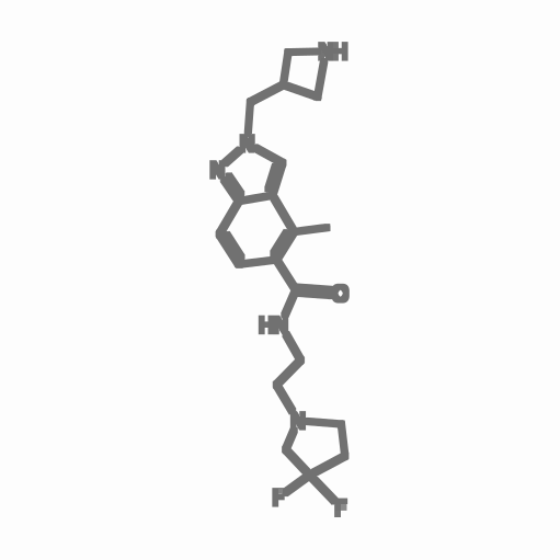 Cc1c(C(=O)NCCN2CCC(F)(F)C2)ccc2nn(CC3CNC3)cc12